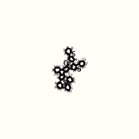 O=P(c1ccc2sc3ccccc3c2c1)(c1ccc2sc3ccccc3c2c1)c1ccc2c(c1)c1ccccc1c1cc3c(cc21)[Si](c1ccccc1)(c1ccccc1)c1ccccc1-3